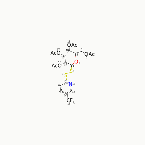 CC(=O)OCC1OC(SSc2ccc(C(F)(F)F)cn2)C(OC(C)=O)C(OC(C)=O)C1OC(C)=O